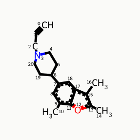 C#CCN1CCC(c2cc(C)c3oc(C)c(C)c3c2)CC1